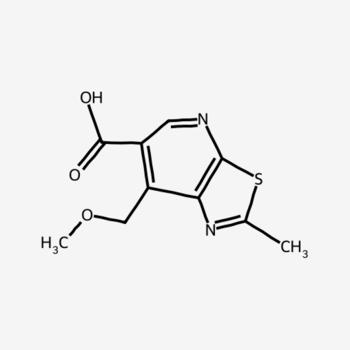 COCc1c(C(=O)O)cnc2sc(C)nc12